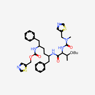 CC(C)COC(C)C(NC(=O)N(C)Cc1cncs1)C(=O)NC(CCC(Cc1ccccc1)NC(=O)OCc1cncs1)Cc1ccccc1